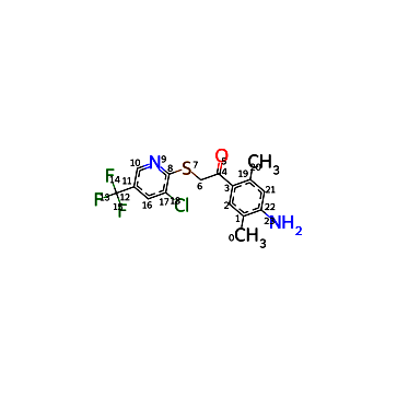 Cc1cc(C(=O)CSc2ncc(C(F)(F)F)cc2Cl)c(C)cc1N